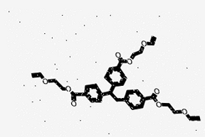 C=COCCOC(=O)c1ccc(CC(c2ccc(C(=O)OCCOC=C)cc2)c2ccc(C(=O)OCCOC=C)cc2)cc1